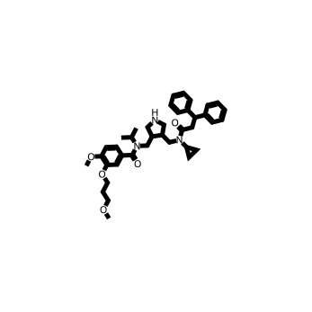 COCCCOc1cc(C(=O)N(CC2CNCC2CN(C(=O)CC(c2ccccc2)c2ccccc2)C2CC2)C(C)C)ccc1OC